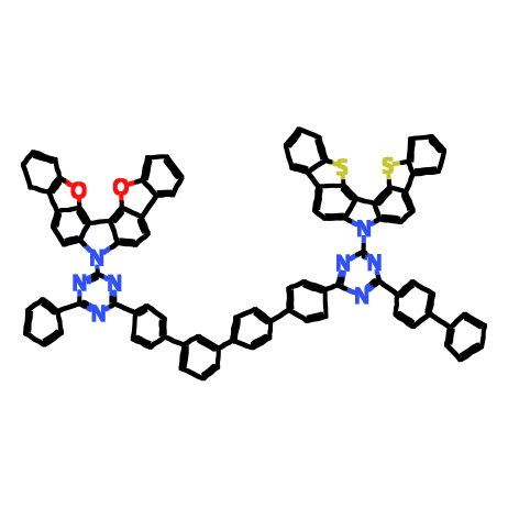 C1=Cc2oc3c(ccc4c3c3c5oc6ccccc6c5ccc3n4-c3nc(-c4ccccc4)nc(-c4ccc(-c5cccc(-c6ccc(-c7ccc(-c8nc(-c9ccc(-c%10ccccc%10)cc9)nc(-n9c%10ccc%11c%12ccccc%12sc%11c%10c%10c%11sc%12ccccc%12c%11ccc%109)n8)cc7)cc6)c5)cc4)n3)c2CC1